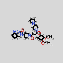 COc1ccc(C[C@H](CC(=O)N2CCC(N3Cc4ccccc4NC3=O)CC2)C(=O)N2CCC(N3CCCCC3)CC2)cc1OC